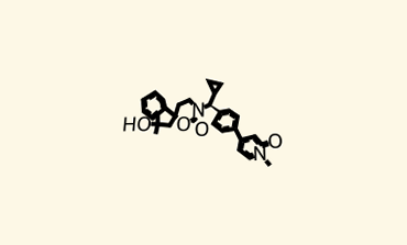 Cn1ccc(-c2ccc([C@H](C3CC3)N3CCC(CC(C)(C)O)(c4ccccc4)OC3=O)cc2)cc1=O